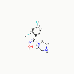 O/N=C(/c1ccc(F)cc1F)N1CCNCC1